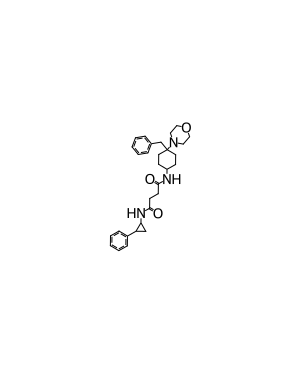 O=C(CCC(=O)NC1CC1c1ccccc1)NC1CCC(Cc2ccccc2)(N2CCOCC2)CC1